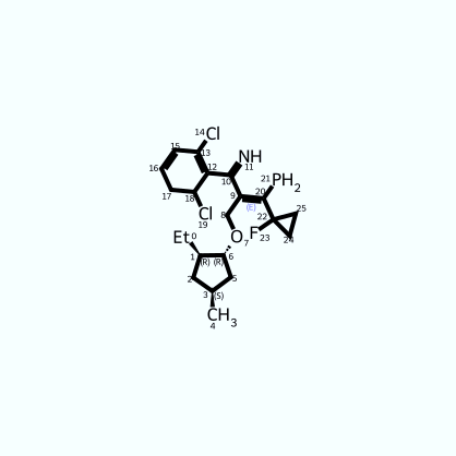 CC[C@@H]1C[C@H](C)C[C@H]1OC/C(C(=N)C1=C(Cl)C=CCC1Cl)=C(/P)C1(F)CC1